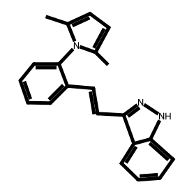 Cc1ccc(C)n1-c1ccccc1C=Cc1n[nH]c2ccccc12